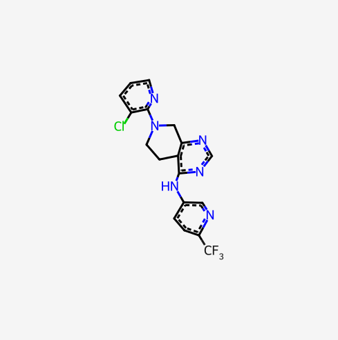 FC(F)(F)c1ccc(Nc2ncnc3c2CCN(c2ncccc2Cl)C3)cn1